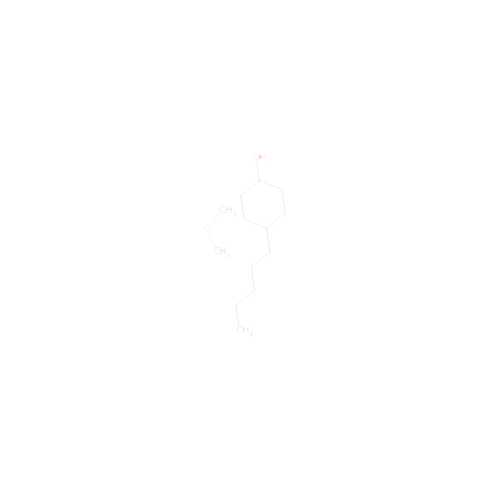 CCCCCC1CCC(O)CC1.COC